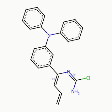 C=C/C=C(\N=C(/N)Cl)c1cccc(N(c2ccccc2)c2ccccc2)c1